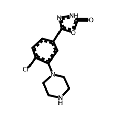 O=c1[nH]nc(-c2ccc(Cl)c(N3CCNCC3)c2)o1